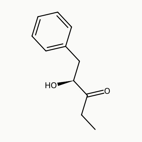 CCC(=O)[C@@H](O)Cc1ccccc1